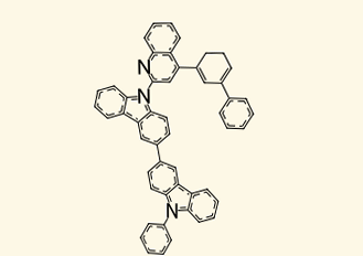 C1=C(c2ccccc2)C=C(c2cc(-n3c4ccccc4c4cc(-c5ccc6c(c5)c5ccccc5n6-c5ccccc5)ccc43)nc3ccccc23)CC1